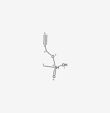 C#CCO[SH](C)(=O)O